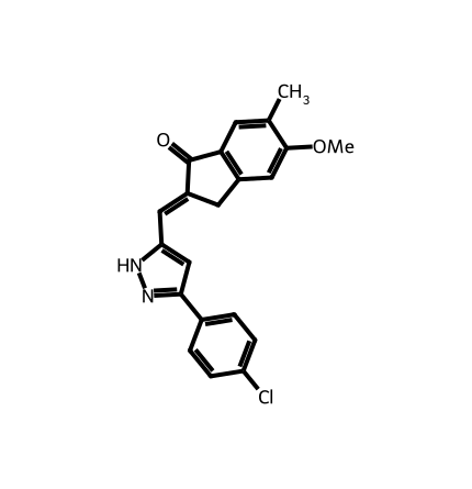 COc1cc2c(cc1C)C(=O)/C(=C/c1cc(-c3ccc(Cl)cc3)n[nH]1)C2